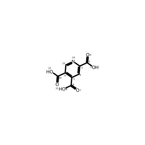 O=C(O)c1cc(C(=O)O)c(C(=O)O)cn1